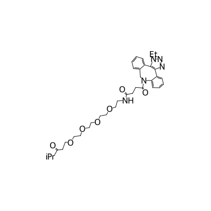 CCn1nnc2c1-c1ccccc1CN(C(=O)CCC(=O)NCCOCCOCCOCCOCCC(=O)C(C)C)c1ccccc1-2